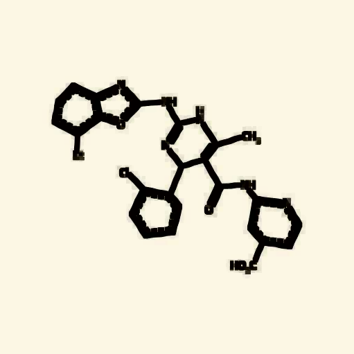 CCc1cccc2nc(NC3=NC(c4ccccc4Cl)C(C(=O)Nc4cc(C(=O)O)ccn4)=C(C)N3)oc12